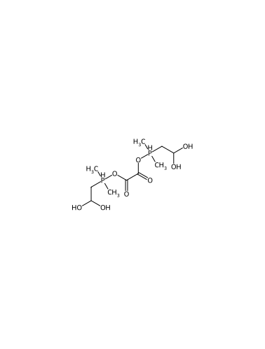 C[PH](C)(CC(O)O)OC(=O)C(=O)O[PH](C)(C)CC(O)O